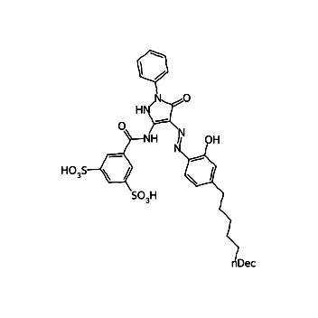 CCCCCCCCCCCCCCCc1ccc(N=Nc2c(NC(=O)c3cc(S(=O)(=O)O)cc(S(=O)(=O)O)c3)[nH]n(-c3ccccc3)c2=O)c(O)c1